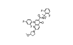 CO[C@@H]1CCN(c2ccc3c(=O)c(C(=O)NC(C)(C)c4c(F)cccc4F)cn(-c4ccc(F)cc4F)c3n2)C1